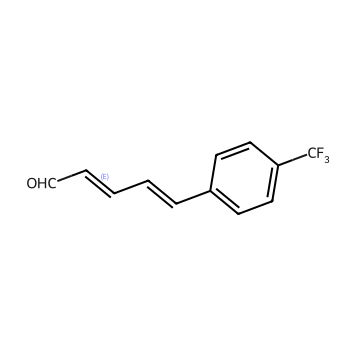 O=C/C=C/C=Cc1ccc(C(F)(F)F)cc1